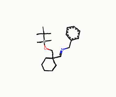 CC(C)(C)[Si](C)(C)OCC1(C=NCc2ccccc2)CCCCC1